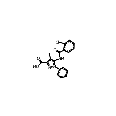 Cc1c(C(=O)O)nn(-c2ccccc2)c1NC(=O)c1ccccc1Cl